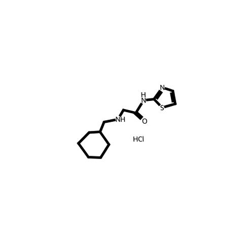 Cl.O=C(CNCC1CCCCC1)Nc1nccs1